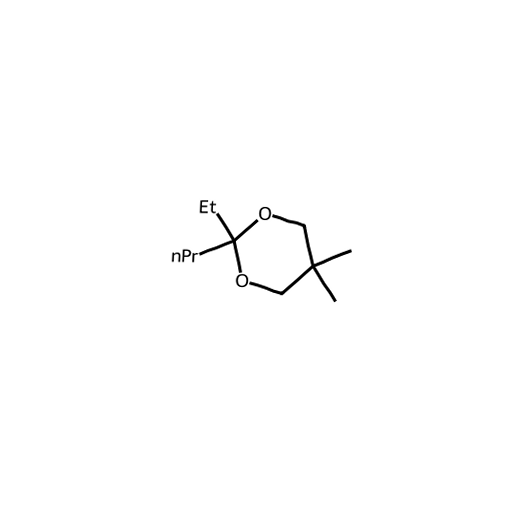 CCCC1(CC)OCC(C)(C)CO1